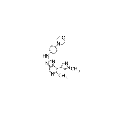 Cc1ncc2nc(Nc3ccc(N4CCOCC4)cc3)nn2c1-c1cnn(C)c1